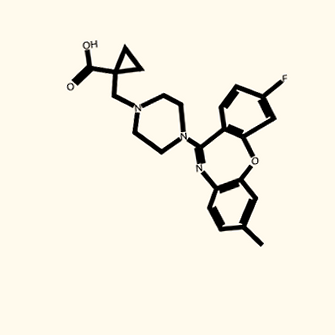 Cc1ccc2c(c1)Oc1cc(F)ccc1C(N1CCN(CC3(C(=O)O)CC3)CC1)=N2